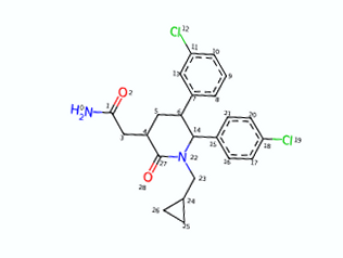 NC(=O)CC1CC(c2cccc(Cl)c2)C(c2ccc(Cl)cc2)N(CC2CC2)C1=O